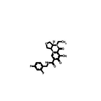 CCN1C(=O)c2c(O)c(=O)c(C(=O)NCc3ccc(F)cc3F)cn2C2COC[C@H]21